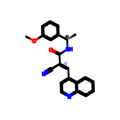 COc1cccc([C@H](C)NC(=O)/C(C#N)=C/c2ccnc3ccccc23)c1